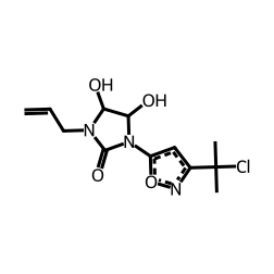 C=CCN1C(=O)N(c2cc(C(C)(C)Cl)no2)C(O)C1O